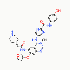 N#CN1C=Nc2cc(OC3CCOC3)c(NC(=O)C=C3CCNCC3)cc2C1Nc1cnc(C(=O)Nc2ccc(O)cc2)nc1